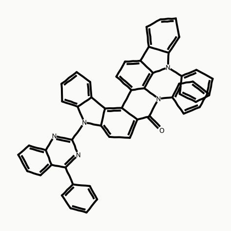 O=c1c2ccc3c(c4ccccc4n3-c3nc(-c4ccccc4)c4ccccc4n3)c2c2ccc3c4ccccc4n(-c4ccccc4)c3c2n1-c1ccccc1